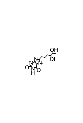 CC(O)C(O)CCCc1nc2c(c(=O)[nH]c(=O)n2C)n1C